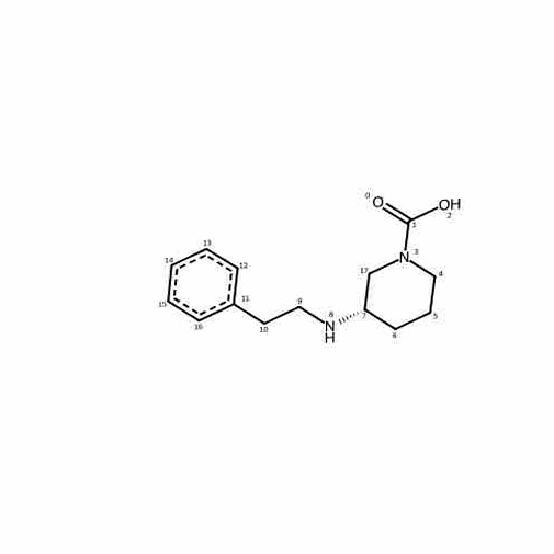 O=C(O)N1CCC[C@H](NCCc2ccccc2)C1